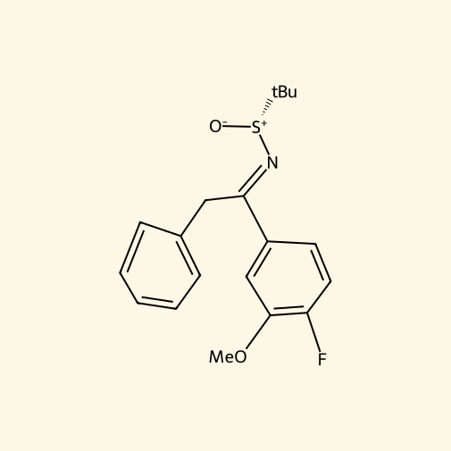 COc1cc(/C(Cc2ccccc2)=N/[S@+]([O-])C(C)(C)C)ccc1F